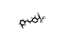 CCN(CC)C(=O)c1ccc(C=Cc2cccc(C)n2)cc1